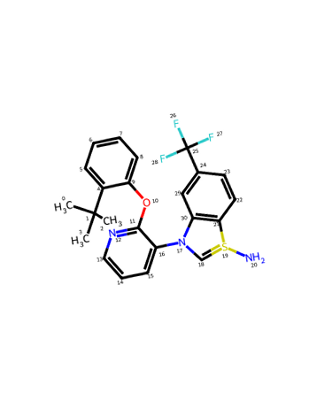 CC(C)(C)c1ccccc1Oc1ncccc1N1C=S(N)c2ccc(C(F)(F)F)cc21